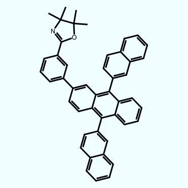 CC1(C)N=C(c2cccc(-c3ccc4c(-c5ccc6ccccc6c5)c5ccccc5c(-c5ccc6ccccc6c5)c4c3)c2)OC1(C)C